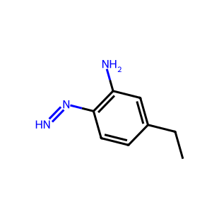 CCc1ccc(N=N)c(N)c1